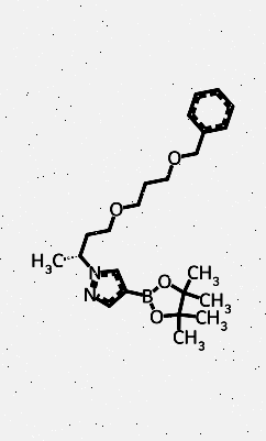 C[C@H](CCOCCCOCc1ccccc1)n1cc(B2OC(C)(C)C(C)(C)O2)cn1